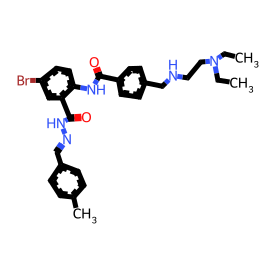 CCN(CC)CCNCc1ccc(C(=O)Nc2ccc(Br)cc2C(=O)N/N=C/c2ccc(C)cc2)cc1